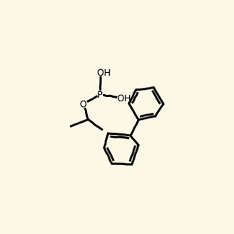 CC(C)OP(O)O.c1ccc(-c2ccccc2)cc1